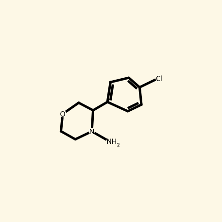 NN1CCOCC1c1ccc(Cl)cc1